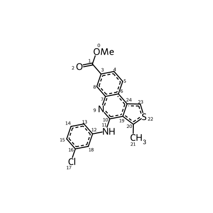 COC(=O)c1ccc2c(c1)nc(Nc1cccc(Cl)c1)c1c(C)scc12